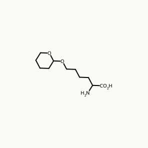 NC(CCCCOC1CCCCO1)C(=O)O